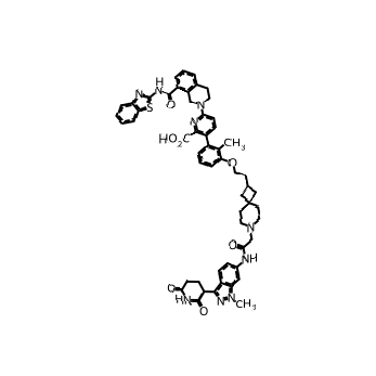 Cc1c(OCCC2CC3(CCN(CC(=O)Nc4ccc5c(C6CCC(=O)NC6=O)nn(C)c5c4)CC3)C2)cccc1-c1ccc(N2CCc3cccc(C(=O)Nc4nc5ccccc5s4)c3C2)nc1C(=O)O